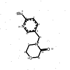 CC(C)(C)c1ccc(CN2CCOCC2=O)cn1